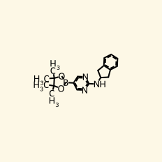 CC1(C)OB(c2cnc(NC3Cc4ccccc4C3)nc2)OC1(C)C